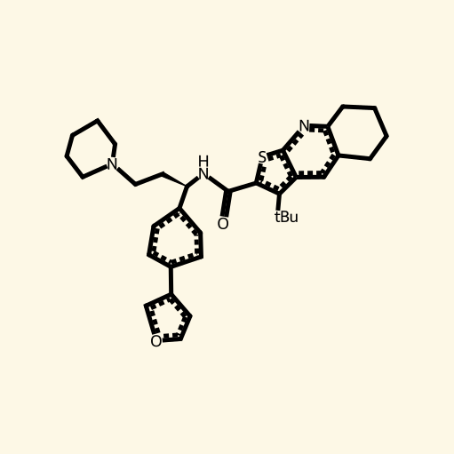 CC(C)(C)c1c(C(=O)N[C@H](CCN2CCCCC2)c2ccc(-c3ccoc3)cc2)sc2nc3c(cc12)CCCC3